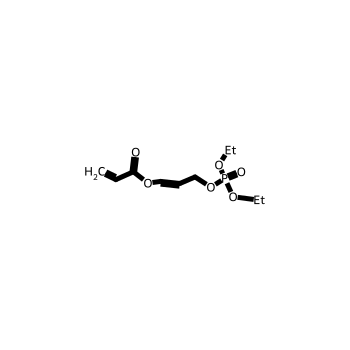 C=CC(=O)OC=CCOP(=O)(OCC)OCC